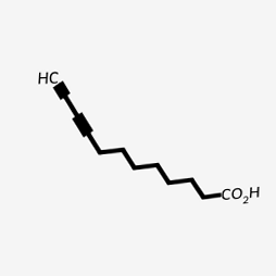 C#CC#CCCCCCCCC(=O)O